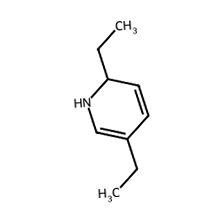 CCC1=CNC(CC)C=C1